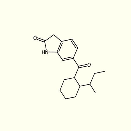 CCC(C)C1CCCCC1C(=O)c1ccc2c(c1)NC(=O)C2